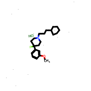 COc1cccc(C2(F)CCN(CCCC3CCCCC3)CC2)c1.Cl